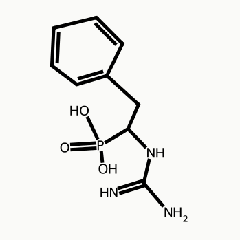 N=C(N)NC(Cc1ccccc1)P(=O)(O)O